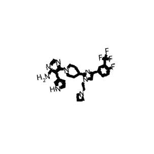 Nc1ncnc(N2CCC(c3nc(-c4ccc(F)c(C(F)(F)F)c4)cn3CCN3CCC3)CC2)c1-c1cc[nH]c1